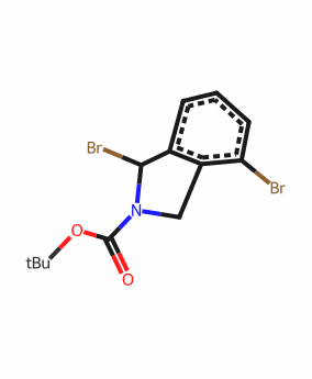 CC(C)(C)OC(=O)N1Cc2c(Br)cccc2C1Br